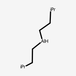 CC(C)C[CH2][AlH][CH2]CC(C)C